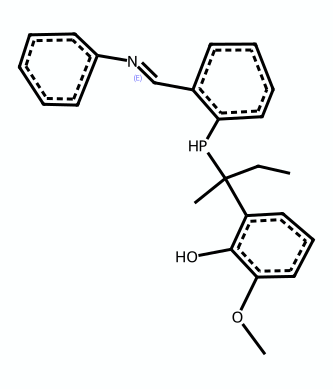 CCC(C)(Pc1ccccc1/C=N/c1ccccc1)c1cccc(OC)c1O